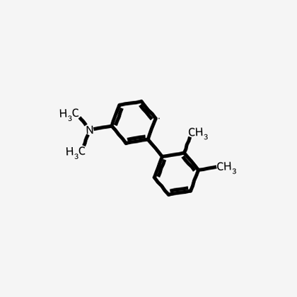 Cc1cccc(-c2[c]ccc(N(C)C)c2)c1C